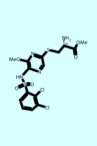 COC(=O)[C@@H](N)CSc1cnc(NS(=O)(=O)c2cccc(Cl)c2Cl)c(OC)n1